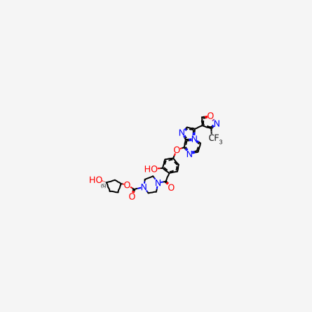 O=C(OC1CC[C@H](O)C1)N1CCN(C(=O)c2ccc(Oc3nccn4c(-c5conc5C(F)(F)F)cnc34)cc2O)CC1